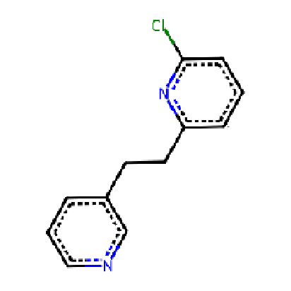 Clc1cc[c]c(CCc2cccnc2)n1